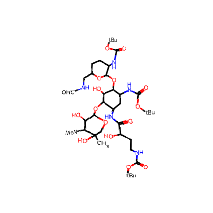 CNC1C(O)C(OC2C(NC(=O)C(O)CCNC(=O)OC(C)(C)C)CC(NC(=O)OC(C)(C)C)C(OC3OC(CNC=O)CCC3NC(=O)OC(C)(C)C)C2O)OCC1(C)O